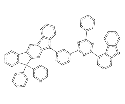 c1ccc(-c2nc(-c3cccc(-n4c5ccccc5c5cc6c(cc54)C(c4ccccc4)(c4cccnc4)c4ccccc4-6)c3)nc(-c3cccc4oc5ccccc5c34)n2)cc1